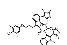 Cc1cc(OCCCc2c3n(c4c(-c5c(C)nn(C)c5C)cccc24)C(C)[C@@H](Cl)N(c2c(-c4nnnn4C)n(C)c4ccccc24)C3=O)cc(C)c1Cl